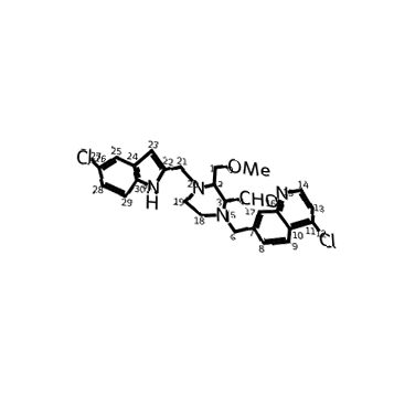 COCC1C(C=O)N(Cc2ccc3c(Cl)ccnc3c2)CCN1Cc1cc2cc(Cl)ccc2[nH]1